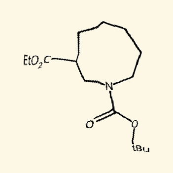 CCOC(=O)C1CCCCCN(C(=O)OC(C)(C)C)C1